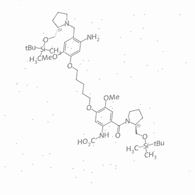 COc1cc(CN2CCC[C@H]2CO[Si](C)(C)C(C)(C)C)c(N)cc1OCCCCCOc1cc(NC(=O)O)c(C(=O)N2CCC[C@H]2CO[Si](C)(C)C(C)(C)C)cc1OC